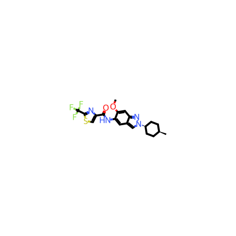 COc1cc2nn([C@H]3CC[C@H](C)CC3)cc2cc1NC(=O)c1csc(C(F)(F)F)n1